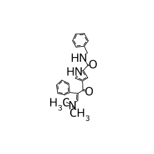 CN(C)/C=C(/C(=O)c1c[nH]c(C(=O)NCc2ccccc2)c1)c1ccccc1